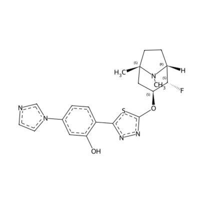 CN1[C@@H]2CC[C@@]1(C)C[C@H](Oc1nnc(-c3ccc(-n4ccnc4)cc3O)s1)[C@H]2F